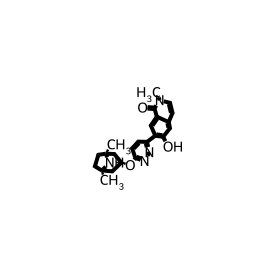 Cn1ccc2cc(O)c(-c3ccc(O[C@H]4C[C@]5(C)CC[C@](C)(C4)N5)nn3)cc2c1=O